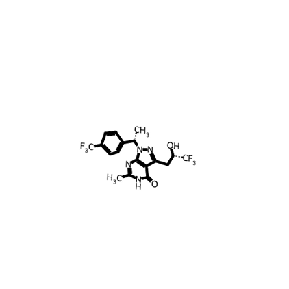 Cc1nc2c(c(C[C@H](O)C(F)(F)F)nn2[C@@H](C)c2ccc(C(F)(F)F)cc2)c(=O)[nH]1